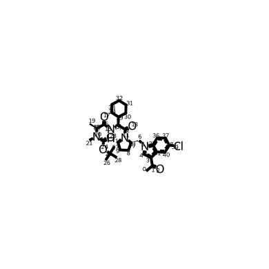 CC(=O)c1cn(C[C@@H]2CCCN2C(=O)[C@@H](NC(=O)[C@H](C)N(C)C(=O)OC(C)(C)C)C2CCCCC2)c2ccc(Cl)cc12